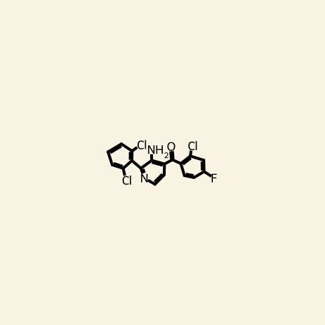 Nc1c(C(=O)c2ccc(F)cc2Cl)ccnc1-c1c(Cl)cccc1Cl